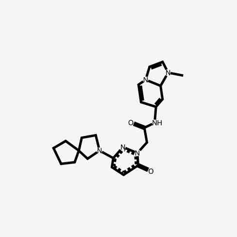 CN1C=CN2C=CC(NC(=O)Cn3nc(N4CCC5(CCCC5)C4)ccc3=O)=CC12